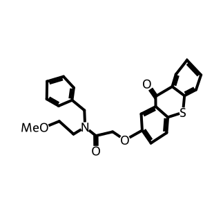 COCCN(Cc1ccccc1)C(=O)COc1ccc2sc3ccccc3c(=O)c2c1